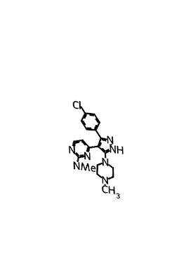 CNc1nccc(-c2c(-c3ccc(Cl)cc3)n[nH]c2N2CCN(C)CC2)n1